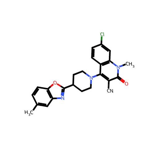 Cc1ccc2oc(C3CCN(c4c(C#N)c(=O)n(C)c5cc(Cl)ccc45)CC3)nc2c1